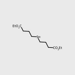 CCOC(=O)CC[CH2][Sn][CH2]CCC(=O)OCC